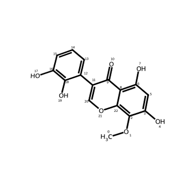 COc1c(O)cc(O)c2c(=O)c(-c3cccc(O)c3O)coc12